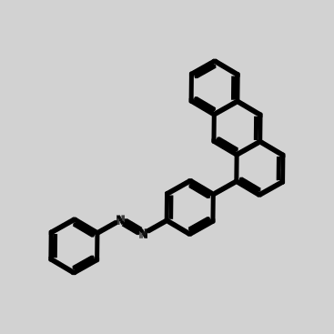 c1ccc(N=Nc2ccc(-c3cccc4cc5ccccc5cc34)cc2)cc1